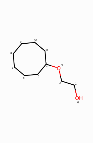 OCCOC1CCCCCCC1